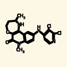 CC1CCOc2c(c3cc(Nc4ccnc(Cl)c4Cl)ccc3n(C)c2=O)N1